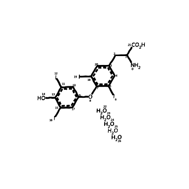 NC(Cc1cc(I)c(Oc2cc(I)c(O)c(I)c2)c(I)c1)C(=O)O.O.O.O.O.O